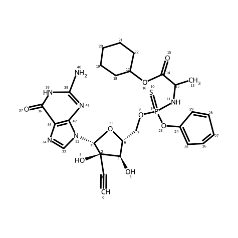 C#C[C@@]1(O)[C@H](O)[C@@H](COP(=S)(NC(C)C(=O)OC2CCCCC2)Oc2ccccc2)O[C@H]1n1cnc2c(=O)[nH]c(N)nc21